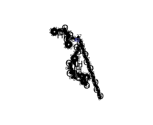 COCCOCCOCCOCCOCCOCCOCCN(COC/C(C)=C/CCP(=O)(N[C@@H](C)C(=O)OCc1ccccc1)Oc1ccccc1)C(=O)OCc1ccc(NC(=O)[C@H](C)NC(=O)[C@@H](NC(=O)CCCCCN2C(=O)C=CC2=O)C(C)C)cc1